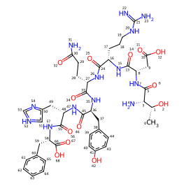 C[C@@H](O)[C@H](N)C(=O)N[C@@H](CC(=O)O)C(=O)N[C@@H](CCCNC(=N)N)C(=O)N[C@@H](CCC(N)=O)C(=O)N[C@@H](Cc1ccc(O)cc1)C(=O)N[C@@H](Cc1c[nH]cn1)C(=O)N[C@@H](Cc1ccccc1)C(=O)O